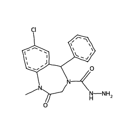 CN1C(=O)CN(C(=O)NN)C(c2ccccc2)c2cc(Cl)ccc21